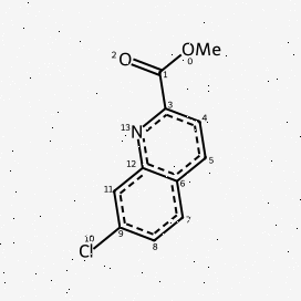 COC(=O)c1ccc2ccc(Cl)cc2n1